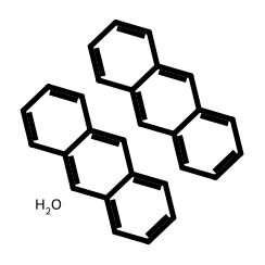 O.c1ccc2cc3ccccc3cc2c1.c1ccc2cc3ccccc3cc2c1